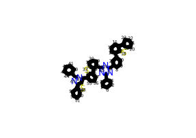 c1ccc(-c2nc(-c3cccc(-c4cccc5c4sc4ccccc45)c3)nc(-c3cccc4sc5c(-c6nc(-c7ccccc7)nc7c6sc6ccccc67)cccc5c34)n2)cc1